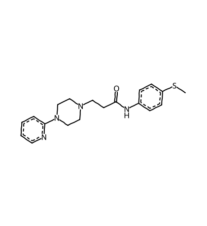 CSc1ccc(NC(=O)CCN2CCN(c3ccccn3)CC2)cc1